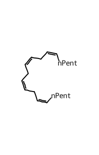 C[CH]CCC/C=C\C/C=C\C/C=C\C/C=C\CCCCC